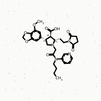 CCCCN(C(=O)CN1C[C@H](c2cc(OC)c3c(c2)OCO3)[C@@H](C(=O)O)[C@@H]1CCN1C(=O)CCC1=O)c1cccnc1